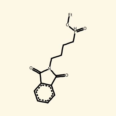 CCO[PH](=O)CCCCN1C(=O)c2ccccc2C1=O